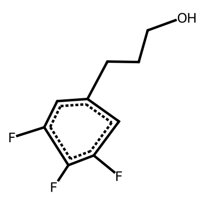 OCCCc1cc(F)c(F)c(F)c1